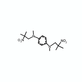 CN(CC(C)(C)[N+](=O)[O-])c1ccc(N(C)CC(C)(C)[N+](=O)[O-])cc1